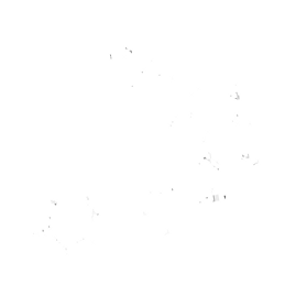 CC(C)(N)c1ccc(-c2nc(Nc3ccc(CCN4CCOCC4)cc3)ncc2N)cc1